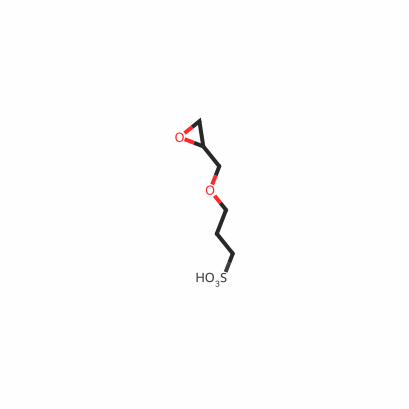 O=S(=O)(O)CCCOCC1CO1